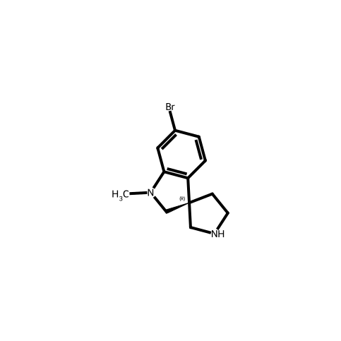 CN1C[C@]2(CCNC2)c2ccc(Br)cc21